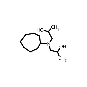 CC(O)CN(CC(C)O)C1CCCCCCC1